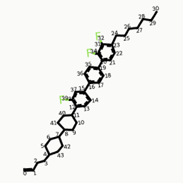 C=CCCC1CCC(C2CCC(c3ccc(-c4ccc(-c5ccc(CCCCCCC)c(F)c5F)cc4)cc3F)CC2)CC1